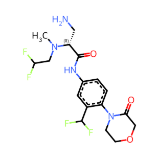 CN(CC(F)F)[C@H](CN)C(=O)Nc1ccc(N2CCOCC2=O)c(C(F)F)c1